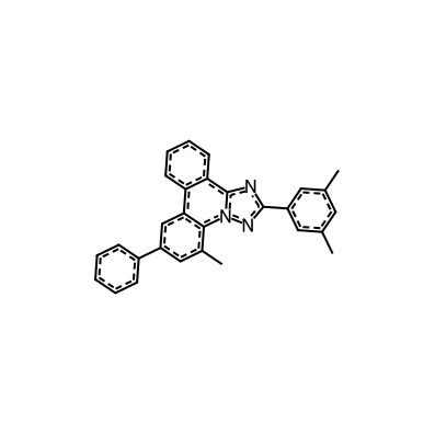 Cc1cc(C)cc(-c2nc3c4ccccc4c4cc(-c5ccccc5)cc(C)c4n3n2)c1